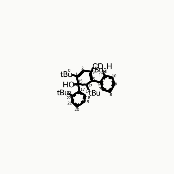 CC(C)(C)C1=CC(C(=O)O)=C(c2ccccc2C(C)(C)C)C(C(C)(C)C)C1(O)c1ccccc1C(C)(C)C